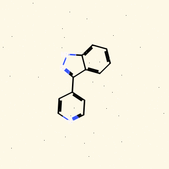 c1ccc2c(-c3ccncc3)n[nH]c2c1